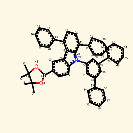 CC1(C)OB(c2ccc3c(c2)c2c(-c4ccccc4)ccc(-c4ccccc4)c2n3-c2cc(-c3ccccc3)cc(-c3ccccc3)c2)OC1(C)C